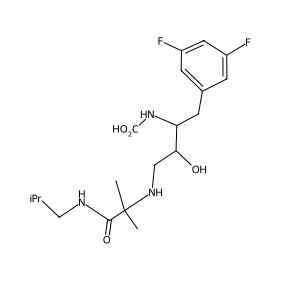 CC(C)CNC(=O)C(C)(C)NCC(O)C(Cc1cc(F)cc(F)c1)NC(=O)O